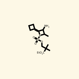 CCOC(=O)C(C)(C)COS(=O)(=O)N1C(=C2CCC2)C(N)C1C